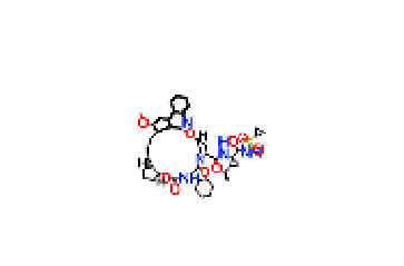 C=C[C@@H]1C[C@]1(NC(=O)[C@@H]1C[C@@H]2CN1C(=O)[C@H](C1CCCCC1)NC(=O)O[C@@H]1CCC[C@H]1CCCc1cc3c(nc4ccccc4c3cc1OC)O2)C(=O)NS(=O)(=O)C1CC1